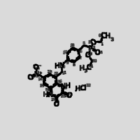 CCOP(=O)(Cc1ccc(NCc2cc([N+](=O)[O-])cc3[nH]c(=O)c(=O)[nH]c23)cc1)OCC.Cl